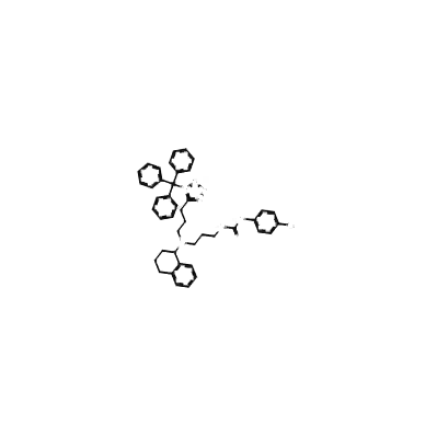 O=C(NCCCN(CCCc1nnnn1C(c1ccccc1)(c1ccccc1)c1ccccc1)C1CCCc2ccccc21)Nc1ccc(Br)cc1